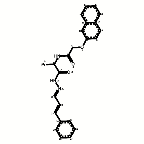 CC(C)C(NC(=O)COc1ccc2ccccc2c1)C(=O)NN=CC=Cc1ccccc1